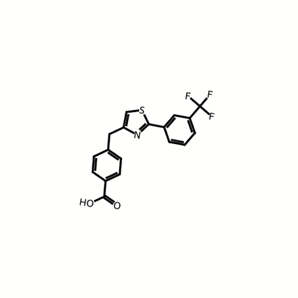 O=C(O)c1ccc(Cc2csc(-c3cccc(C(F)(F)F)c3)n2)cc1